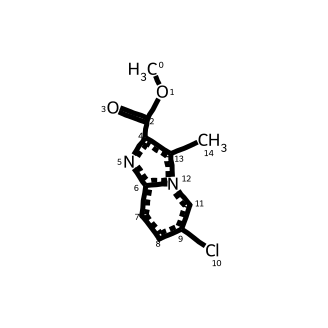 COC(=O)c1nc2ccc(Cl)cn2c1C